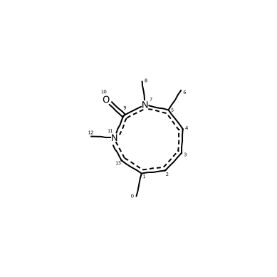 Cc1cccc(C)n(C)c(=O)n(C)c1